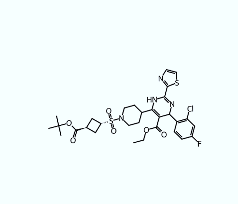 CCOC(=O)C1=C(C2CCN(S(=O)(=O)[C@H]3C[C@H](C(=O)OC(C)(C)C)C3)CC2)NC(c2nccs2)=NC1c1ccc(F)cc1Cl